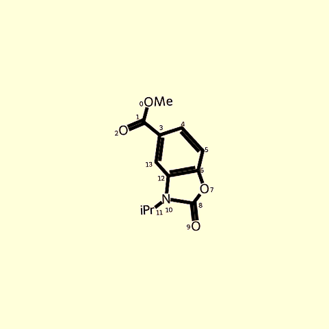 COC(=O)c1ccc2oc(=O)n(C(C)C)c2c1